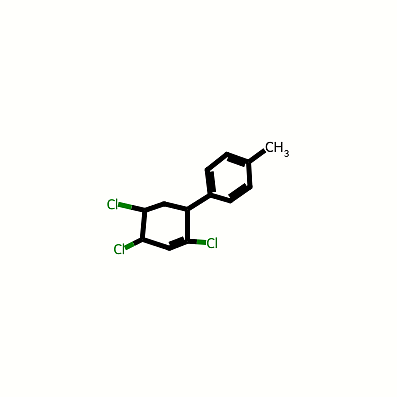 Cc1ccc(C2CC(Cl)C(Cl)C=C2Cl)cc1